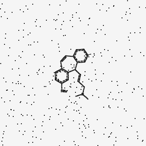 CSc1ccc2c(c1)C(C=CCN(C)C)c1ccccc1C=C2